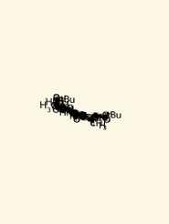 CC(COc1ccc(-n2ccc(NC(=O)N3CCN(C(=O)C(C)(C)NC(=O)OC(C)(C)C)CC3)nc2=O)cc1)N1CCC(CNC(=O)OC(C)(C)C)C1